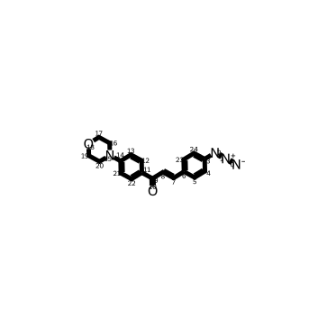 [N-]=[N+]=Nc1ccc(C=CC(=O)c2ccc(N3CCOCC3)cc2)cc1